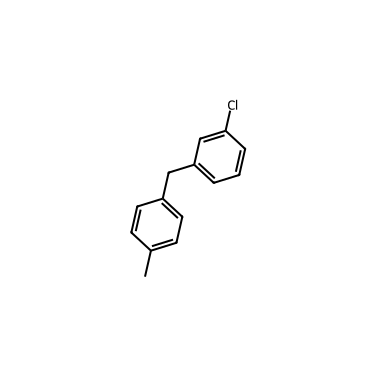 Cc1ccc(Cc2cccc(Cl)c2)cc1